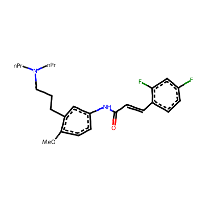 CCCN(CCC)CCCc1cc(NC(=O)C=Cc2ccc(F)cc2F)ccc1OC